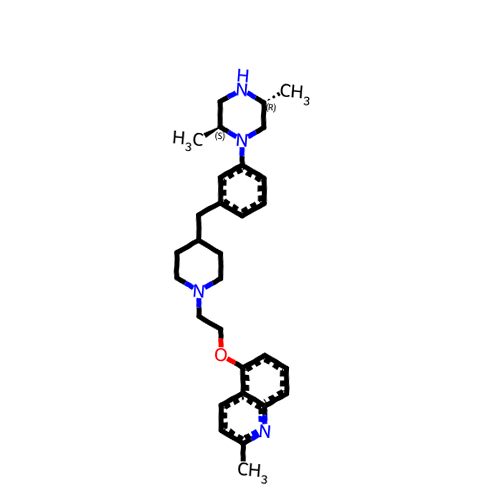 Cc1ccc2c(OCCN3CCC(Cc4cccc(N5C[C@@H](C)NC[C@@H]5C)c4)CC3)cccc2n1